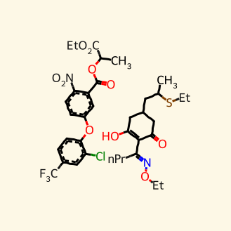 CCCC(=NOCC)C1=C(O)CC(CC(C)SCC)CC1=O.CCOC(=O)C(C)OC(=O)c1cc(Oc2ccc(C(F)(F)F)cc2Cl)ccc1[N+](=O)[O-]